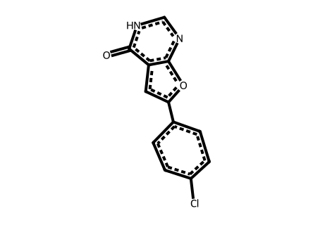 O=c1[nH]cnc2oc(-c3ccc(Cl)cc3)cc12